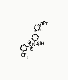 CCCN1CC[C@@H](c2ccc(NS(=O)(=O)c3cccc(C(F)(F)F)c3)cc2)[C@H]1C.Cl